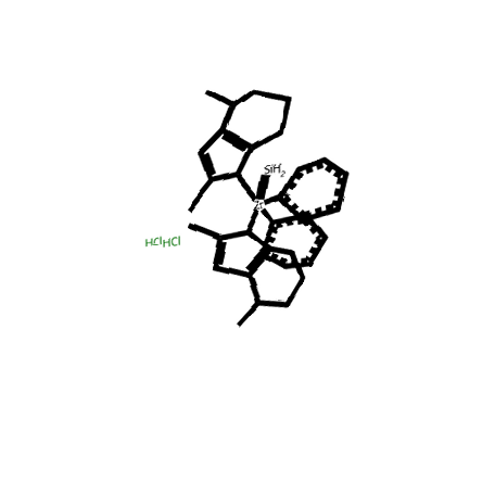 CC1=CC2=C(CCCC2C)[CH]1[Zr](=[SiH2])([c]1ccccc1)([c]1ccccc1)[CH]1C(C)=CC2=C1CCCC2C.Cl.Cl